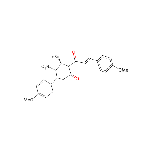 CCCC[C@H]1C(C(=O)/C=C/c2ccc(OC)cc2)C(=O)C[C@H](C2C=CC(OC)=CC2)[C@@H]1[N+](=O)[O-]